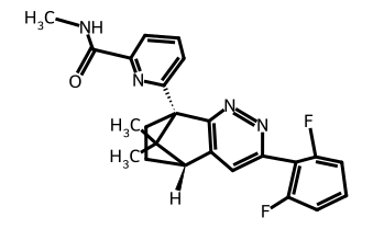 CNC(=O)c1cccc([C@]23CC[C@@H](c4cc(-c5c(F)cccc5F)nnc42)C3(C)C)n1